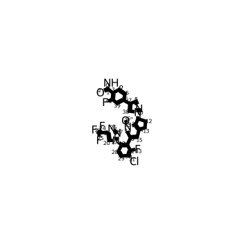 NC(=O)c1ccc(-c2cnn(C3CCc4cc(-c5c(-n6cc(C(F)(F)F)nn6)ccc(Cl)c5F)c[n+]([O-])c43)c2)cc1F